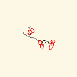 C=C(C)C(=O)OCC(CCCC)CCCCCCOc1ccc(C=CC(=O)OC)cc1OC